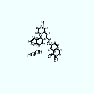 CCN1CCc2ccc(OCCCC3CNCCN3c3cccc4sccc34)cc2C1=O.Cl.Cl